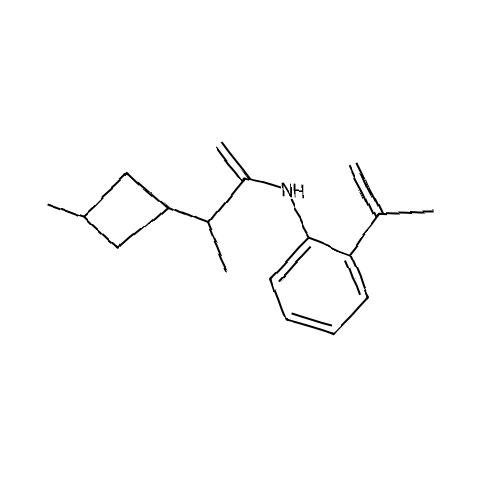 C=C(C)c1ccccc1NC(=C)C(C)C1CC(C)C1